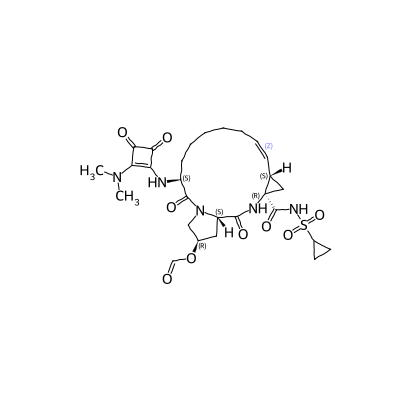 CN(C)c1c(N[C@H]2CCCCC/C=C\[C@@H]3C[C@@]3(C(=O)NS(=O)(=O)C3CC3)NC(=O)[C@@H]3C[C@@H](OC=O)CN3C2=O)c(=O)c1=O